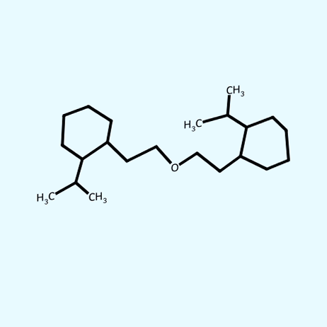 CC(C)C1CCCCC1CCOCCC1CCCCC1C(C)C